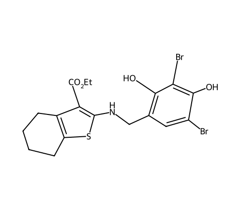 CCOC(=O)c1c(NCc2cc(Br)c(O)c(Br)c2O)sc2c1CCCC2